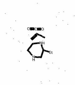 C=CC.CCC1CNCCN1.O=C=O